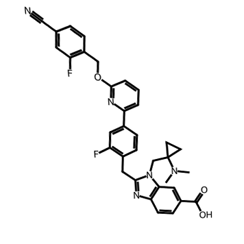 CN(C)C1(Cn2c(Cc3ccc(-c4cccc(OCc5ccc(C#N)cc5F)n4)cc3F)nc3ccc(C(=O)O)cc32)CC1